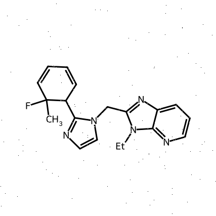 CCn1c(Cn2ccnc2C2C=CC=CC2(C)F)nc2cccnc21